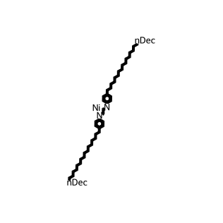 CCCCCCCCCCCCCCCCCCCCCCCCCCc1ccc(N=CC=Nc2ccc(CCCCCCCCCCCCCCCCCCCCCCCCCC)cc2)cc1.[Ni]